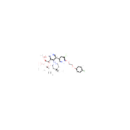 Cc1ncc(-c2cnc(OCCOc3ccc(Cl)cc3)c(F)c2)c(N2CCC(C)(C)CC2)c1[C@H](OC(C)(C)C)C(=O)O